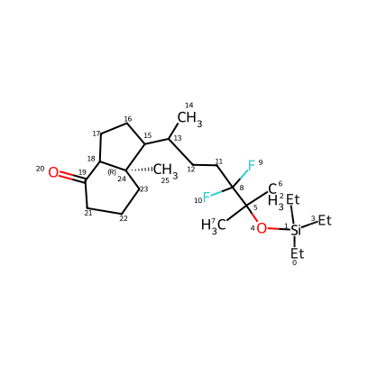 CC[Si](CC)(CC)OC(C)(C)C(F)(F)CCC(C)C1CCC2C(=O)CCC[C@@]21C